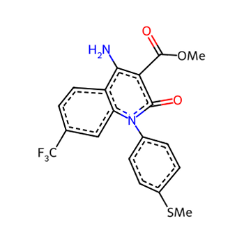 COC(=O)c1c(N)c2ccc(C(F)(F)F)cc2n(-c2ccc(SC)cc2)c1=O